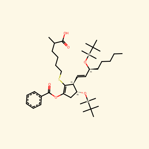 CCCCC[C@@H](C=C[C@@H]1C(SCCCCC(C)C(=O)O)=C(OC(=O)c2ccccc2)C[C@H]1O[Si](C)(C)C(C)(C)C)O[Si](C)(C)C(C)(C)C